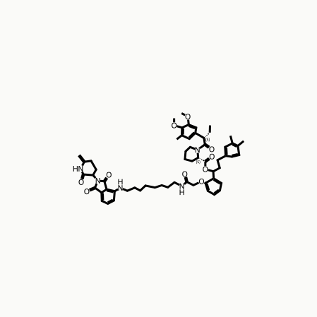 C=C1CCC(N2C(=O)c3cccc(NCCCCCCCCNC(=O)COc4ccccc4C(CCc4ccc(C)c(C)c4)OC(=O)[C@@H]4CCCCN4C(=O)[C@@H](CC)c4cc(C)c(OC)c(OC)c4)c3C2=O)C(=O)N1